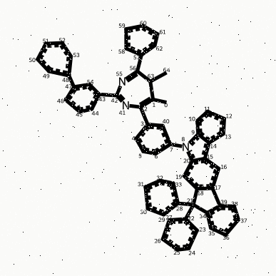 CC1=C(c2cccc(-n3c4ccccc4c4cc5c(cc43)C(c3ccccc3)(c3ccccc3)c3ccccc3-5)c2)N=C(c2cccc(-c3ccccc3)c2)N=C(c2ccccc2)C1C